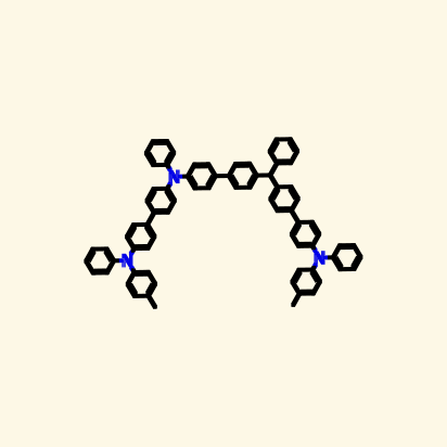 Cc1ccc(N(c2ccccc2)c2ccc(-c3ccc(C(c4ccccc4)c4ccc(-c5ccc(N(c6ccccc6)c6ccc(-c7ccc(N(c8ccccc8)c8ccc(C)cc8)cc7)cc6)cc5)cc4)cc3)cc2)cc1